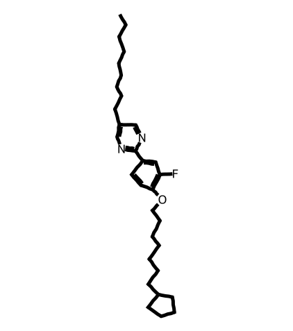 CCCCCCCCCc1cnc(-c2ccc(OCCCCCCCC3CCCC3)c(F)c2)nc1